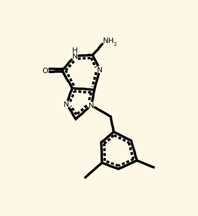 Cc1cc(C)cc(Cn2cnc3c(=O)[nH]c(N)nc32)c1